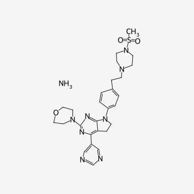 CS(=O)(=O)N1CCN(CCc2ccc(N3CCc4c(-c5cncnc5)nc(N5CCOCC5)nc43)cc2)CC1.N